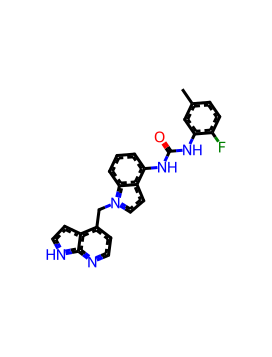 Cc1ccc(F)c(NC(=O)Nc2cccc3c2ccn3Cc2ccnc3[nH]ccc23)c1